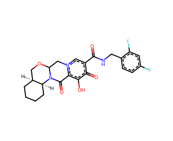 O=C(NCc1ccc(F)cc1F)c1cn2c(c(O)c1=O)C(=O)N1C(C2)OC[C@@H]2CCCC[C@@H]21